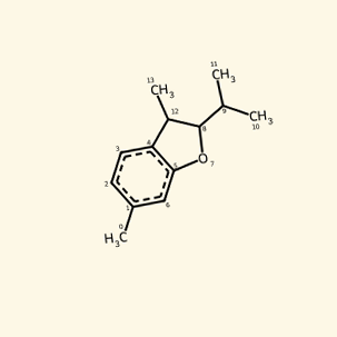 Cc1ccc2c(c1)OC(C(C)C)C2C